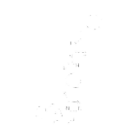 CC1CCCC1Oc1ccc2nnc(Sc3ccc4nc(NC(=O)NCCN5CCOCC5)sc4c3)n2n1